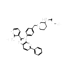 CCCCOC(=O)NC1CCCN(Cc2ccc(-n3c(-c4cccnc4N)nc4ccc(-c5ccccc5)nc43)cc2)C1